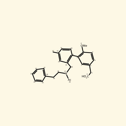 COc1ccc(CC(=O)O)cc1-c1ccc(C)cc1CN(CCc1ccccc1)C(C)=O